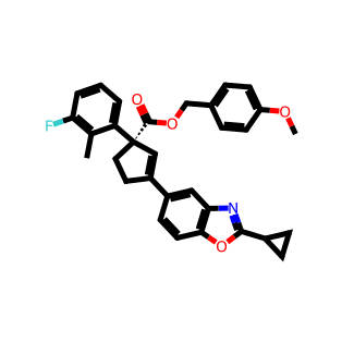 COc1ccc(COC(=O)[C@]2(c3cccc(F)c3C)C=C(c3ccc4oc(C5CC5)nc4c3)CC2)cc1